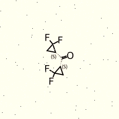 O=C([C@@H]1CC1(F)F)[C@@H]1CC1(F)F